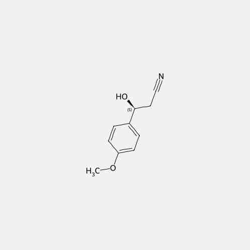 COc1ccc([C@@H](O)CC#N)cc1